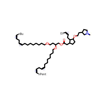 CC/C=C\CC1C(CC(=O)OCC(CCOCCCCCCCC/C=C\C/C=C\CCCC)OCCCCCCC/C=C\C/C=C\CCCCC)CCC1OCCC1CCN(C)C1